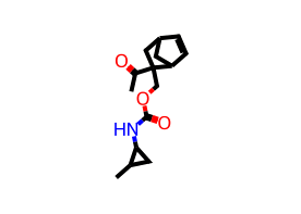 CC(=O)C1(COC(=O)NC2CC2C)CC2C=CC1C2